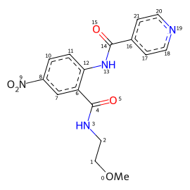 COCCNC(=O)c1cc([N+](=O)[O-])ccc1NC(=O)c1ccncc1